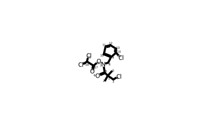 CC(C)(CCl)C(=O)N(Cc1ccccc1Cl)OC(=O)C(Cl)Cl